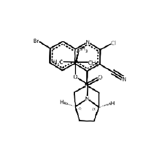 CC(C)(C)OC(=O)N1[C@@H]2CC[C@H]1CN(c1c(C#N)c(Cl)nc3cc(Br)ccc13)C2